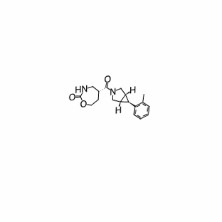 Cc1ccccc1[C@H]1[C@@H]2CN(C(=O)[C@@H]3CCOC(=O)NC3)C[C@@H]21